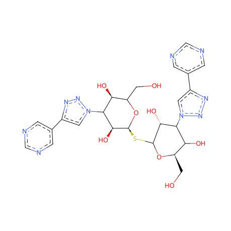 OCC1O[C@@H](SC2O[C@H](CO)C(O)C(n3cc(-c4cncnc4)nn3)[C@H]2O)[C@@H](O)C(n2cc(-c3cncnc3)nn2)[C@H]1O